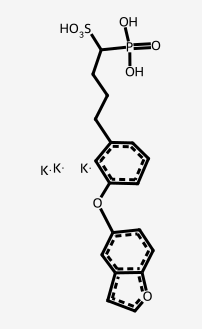 O=P(O)(O)C(CCCc1cccc(Oc2ccc3occc3c2)c1)S(=O)(=O)O.[K].[K].[K]